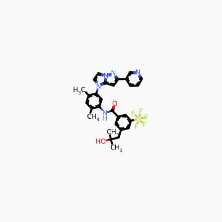 Cc1cc(C)c(-n2ccn3nc(-c4cccnc4)cc23)cc1NC(=O)c1cc(CC(C)(C)O)cc(S(F)(F)(F)(F)F)c1